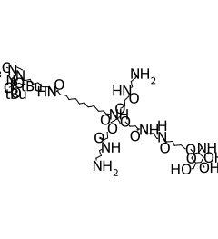 CC(=O)NC1C(O)[C@@H](O)C(CO)O[C@H]1OCCCCC(=O)NCCCNC(=O)CCOCC(COCCC(=O)NCCCN)(COCCC(=O)NCCCN)NC(=O)CCCCCCCCCCC(=O)NCCCCCCN1CCN(C)C1=NP(=O)(OC(C)(C)C)OC(C)(C)C